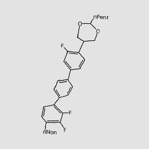 CCCCCCCCCc1ccc(-c2ccc(-c3ccc(C4COC(CCCCC)OC4)c(F)c3)cc2)c(F)c1F